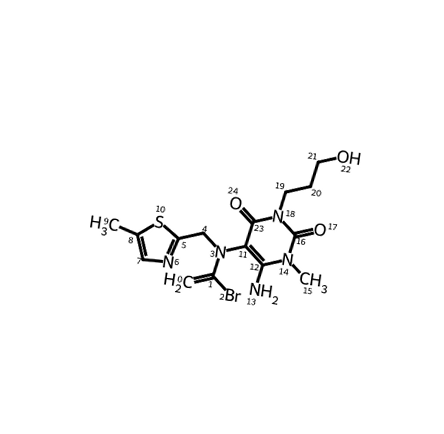 C=C(Br)N(Cc1ncc(C)s1)c1c(N)n(C)c(=O)n(CCCO)c1=O